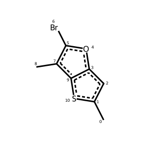 Cc1cc2oc(Br)c(C)c2s1